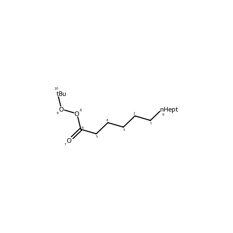 CCCCCCCCCCCCC(=O)OOC(C)(C)C